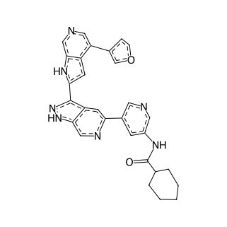 O=C(Nc1cncc(-c2cc3c(-c4cc5c(-c6ccoc6)cncc5[nH]4)n[nH]c3cn2)c1)C1CCCCC1